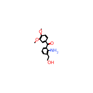 COc1ccc(C(=O)c2cccc(CCO)c2N)cc1OC